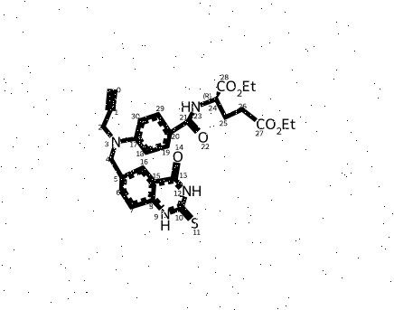 C#CCN(Cc1ccc2[nH]c(=S)[nH]c(=O)c2c1)c1ccc(C(=O)N[C@H](CCC(=O)OCC)C(=O)OCC)cc1